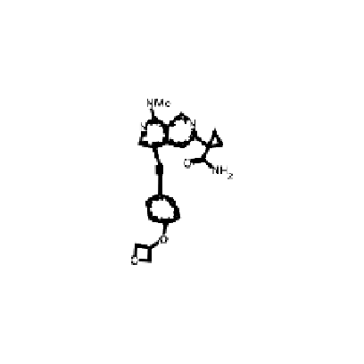 CNc1ncc(C#Cc2ccc(OC3COC3)cc2)c2cc(C3(C(N)=O)CC3)ncc12